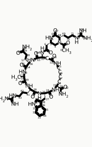 CC(=O)N1C[C@H](CC(=O)N[C@H]2CC(=O)NCCCC[C@@H](C(N)=O)NC(=O)[C@H](Cc3c[nH]c4ccccc34)NC(=O)[C@H](CCCNC(=N)N)NC(=O)[C@@H](C)NC(=O)[C@H](CCC(N)=O)NC2=O)NC(=O)[C@@H]1CCCNC(=N)N